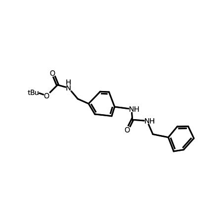 CC(C)(C)OC(=O)NCc1ccc(NC(=O)NCc2ccccc2)cc1